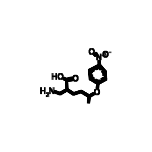 CC(CCC(CN)C(=O)O)Oc1ccc([N+](=O)[O-])cc1